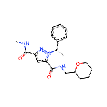 CNC(=O)c1cc(C(=O)NCC2CCCCO2)n([C@@H](C)c2ccccc2)n1